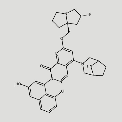 O=c1c2nc(OC[C@@]34CCCN3C[C@H](F)C4)cc(N3CC4CCC(C3)N4)c2cnn1-c1cc(O)cc2cccc(Cl)c12